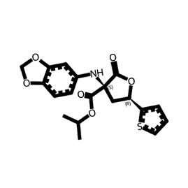 CC(C)OC(=O)[C@@]1(Nc2ccc3c(c2)OCO3)C[C@H](c2cccs2)OC1=O